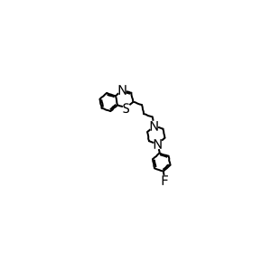 Fc1ccc(N2CCN(CCCC3C=Nc4ccccc4S3)CC2)cc1